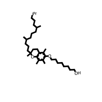 Cc1c(C)c2c(c(C)c1OCCCCCCCCO)CCC(C)(CCCC(C)CCCC(C)CCCC(C)C)O2